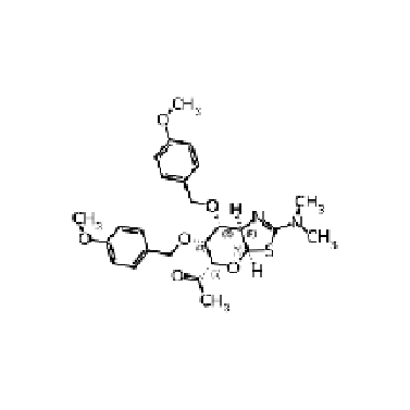 COc1ccc(CO[C@@H]2[C@H]3N=C(N(C)C)S[C@H]3O[C@H](C(C)=O)[C@@H]2OCc2ccc(OC)cc2)cc1